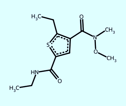 CCNC(=O)c1cc(C(=O)N(C)OC)c(CC)s1